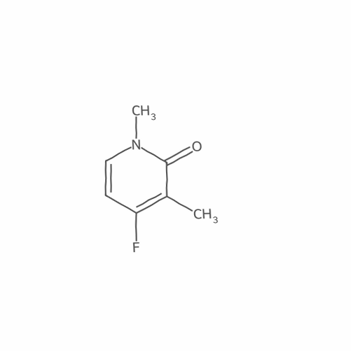 Cc1c(F)ccn(C)c1=O